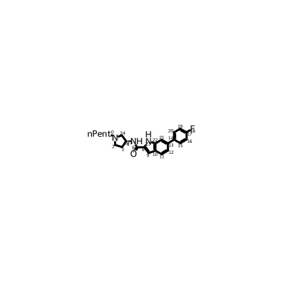 CCCCCN1CC[C@H](NC(=O)c2cc3ccc(-c4ccc(F)cc4)cc3[nH]2)C1